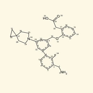 NCc1cccc(-c2cc(COc3ccccc3CC(=O)O)cc(N3CCC4(CC3)CC4)c2)c1F